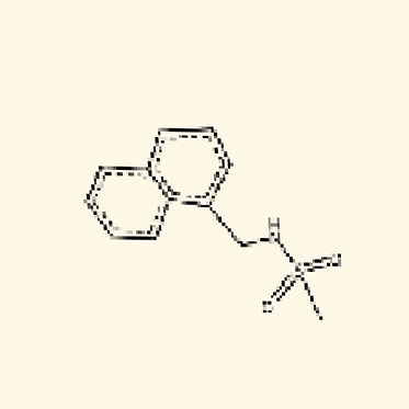 CS(=O)(=O)NCc1cccc2ccccc12